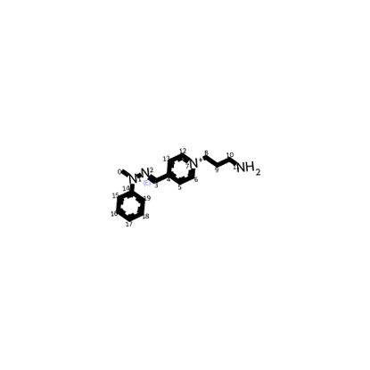 CN(/N=C/c1cc[n+](CCCN)cc1)c1ccccc1